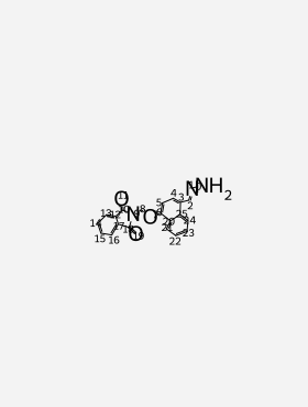 NN=Cc1ccc(OCN2C(=O)c3ccccc3C2=O)c2ccccc12